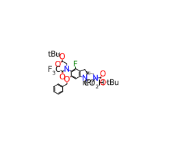 CCCN(C[C@H]1Cc2c(cc(OCc3ccccc3)c(N(CC(=O)OC(C)(C)C)C(=O)C(F)(F)F)c2F)N1C(=O)O)C(=O)OC(C)(C)C